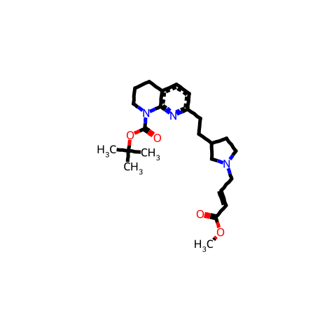 COC(=O)C=CCN1CCC(CCc2ccc3c(n2)N(C(=O)OC(C)(C)C)CCC3)C1